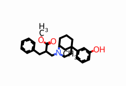 COC(=O)C(Cc1ccccc1)CN1CCC2(c3cccc(O)c3)CCCC1C2C